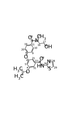 CC(C)Oc1cc(Oc2ccc(C(=O)N(C)CCO)cc2)cc(C(=O)Nc2nccs2)c1